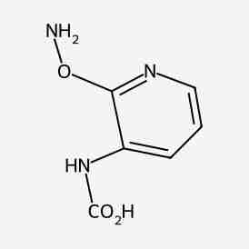 NOc1ncccc1NC(=O)O